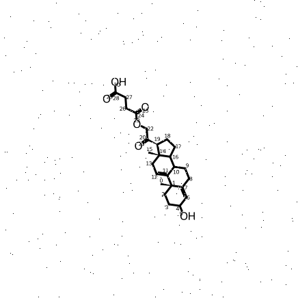 C[C@]12CCC(O)C=C1CCC1C2=CC[C@@]2(C)C1CC[C@@H]2C(=O)COC(=O)CCC(=O)O